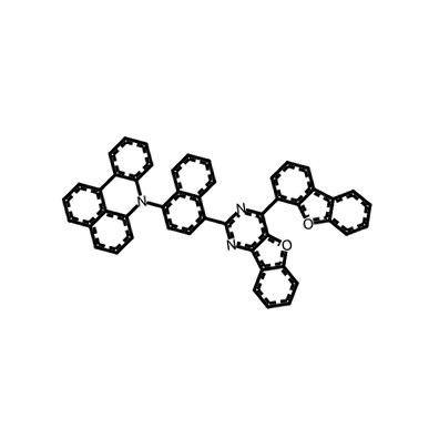 c1ccc2c(c1)-c1cccc3cccc(c13)N2c1ccc(-c2nc(-c3cccc4c3oc3ccccc34)c3oc4ccccc4c3n2)c2ccccc12